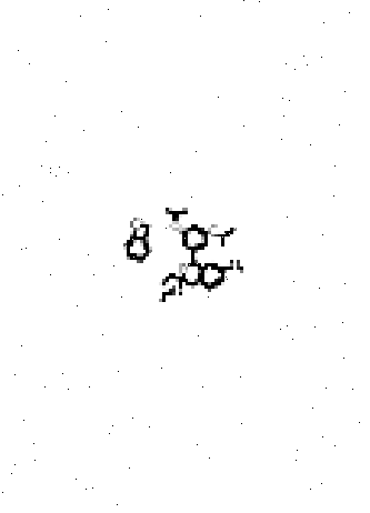 CCOC1(CC)Cc2ccc(OC)cc2C(c2cc(OC(C)C)cc(OC(C)C)c2)=N1.c1ccc2c(c1)CO2